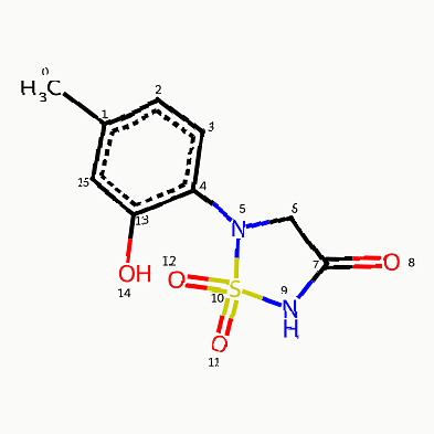 Cc1ccc(N2CC(=O)NS2(=O)=O)c(O)c1